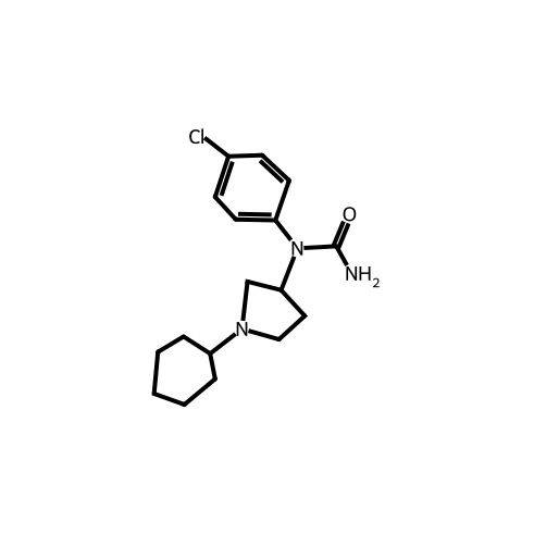 NC(=O)N(c1ccc(Cl)cc1)C1CCN(C2CCCCC2)C1